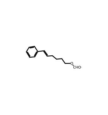 O=[C]OCCCCC=Cc1ccccc1